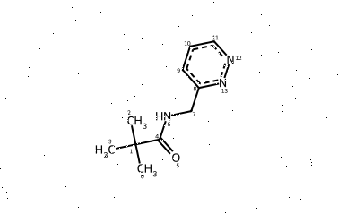 CC(C)(C)C(=O)NCc1cccnn1